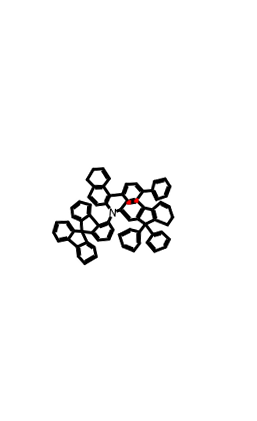 C1=CC2=C(CC1)C(c1ccccc1)(c1ccccc1)c1cc(N(c3cccc4c3-c3ccccc3C43c4ccccc4-c4ccccc43)c3ccc4c(c3-c3ccc(-c5ccccc5)cc3)C=CCC4)ccc12